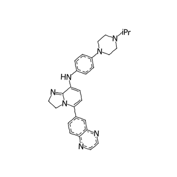 CC(C)N1CCN(c2ccc(NC3=CC=C(c4ccc5nccnc5c4)N4CCN=C34)cc2)CC1